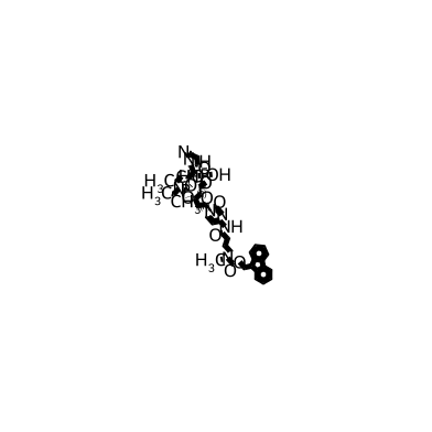 CC(C)N(C(C)C)P(OCCC#N)OC1C[C@H](n2ccc(NC(=O)CCCN(C)C(=O)OCC3c4ccccc4-c4ccccc43)nc2=O)O[C@@H]1CO[PH](O)(O)OCCC#N